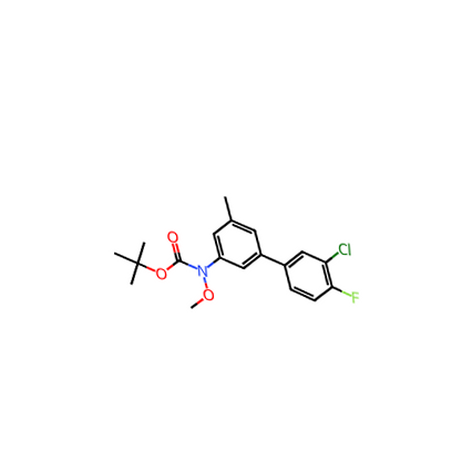 CON(C(=O)OC(C)(C)C)c1cc(C)cc(-c2ccc(F)c(Cl)c2)c1